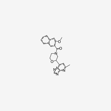 COc1cc2ccccc2cc1C(=O)N1CCOC(c2cc(C)nc3ncnn23)C1